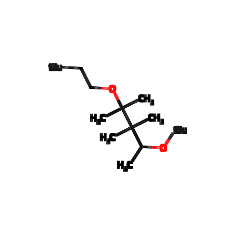 CC(OC(C)(C)C)C(C)(C)C(C)(C)OCCC(C)(C)C